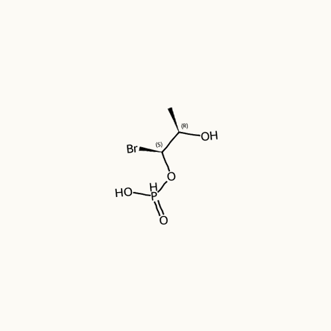 C[C@@H](O)[C@H](Br)O[PH](=O)O